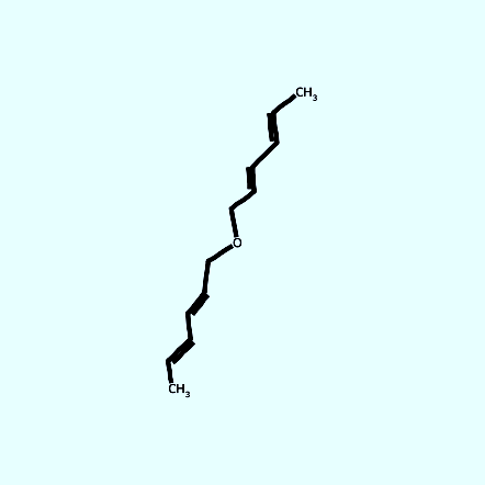 C/C=C/C=C/COC/C=C/C=C/C